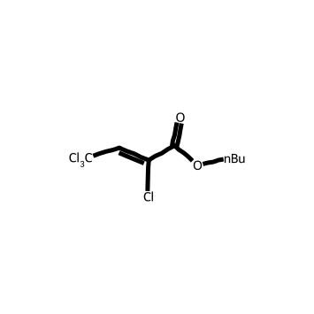 CCCCOC(=O)C(Cl)=CC(Cl)(Cl)Cl